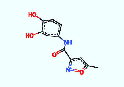 Cc1cc(C(=O)Nc2ccc(O)c(O)c2)no1